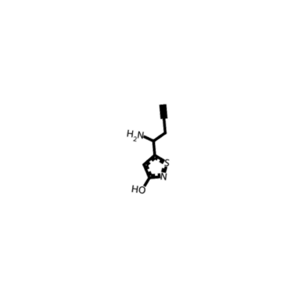 C#CCC(N)c1cc(O)ns1